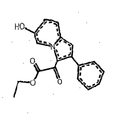 CCOC(=O)C(=O)c1c(-c2ccccc2)cc2ccc(O)cn12